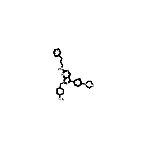 NC1CCC(Cn2nc(-c3ccc(N4CCOCC4)cc3)c3cnc(NCCCc4ccccc4)nc32)CC1